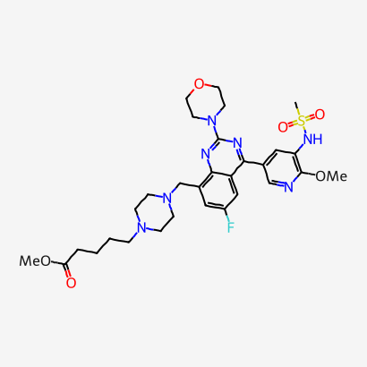 COC(=O)CCCCN1CCN(Cc2cc(F)cc3c(-c4cnc(OC)c(NS(C)(=O)=O)c4)nc(N4CCOCC4)nc23)CC1